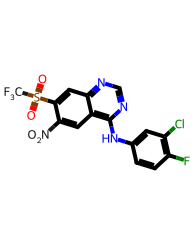 O=[N+]([O-])c1cc2c(Nc3ccc(F)c(Cl)c3)ncnc2cc1S(=O)(=O)C(F)(F)F